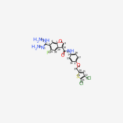 N/N=C(\NN)c1cc2occ(C(=O)Nc3ccc(OCc4cc(Cl)c(Cl)s4)cc3)c2cc1F